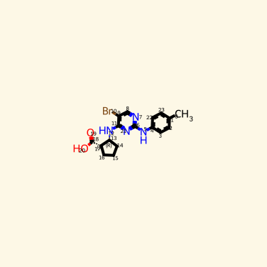 Cc1ccc(Nc2ncc(Br)c(N[C@@H]3CCC[C@@H]3C(=O)O)n2)cc1